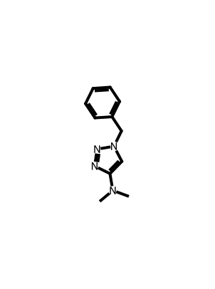 CN(C)c1cn(Cc2ccccc2)nn1